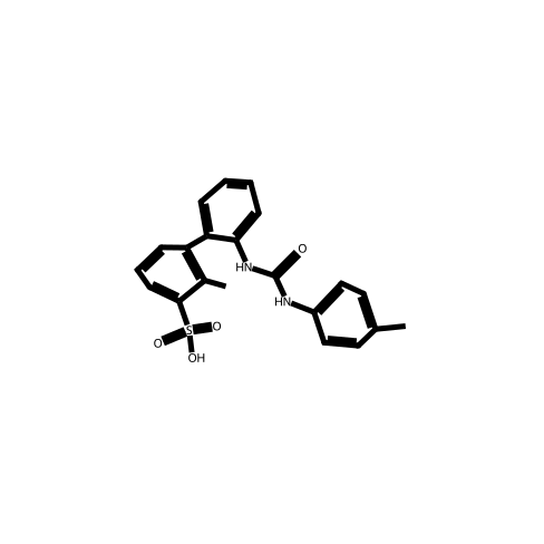 Cc1ccc(NC(=O)Nc2ccccc2-c2cccc(S(=O)(=O)O)c2C)cc1